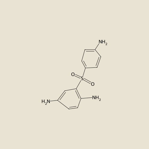 Nc1ccc(S(=O)(=O)c2cc(N)ccc2N)cc1